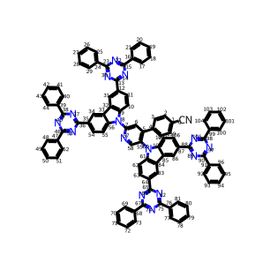 N#Cc1ccc(-c2cc(-n3c4ccc(-c5nc(-c6ccccc6)nc(-c6ccccc6)n5)cc4c4cc(-c5nc(-c6ccccc6)nc(-c6ccccc6)n5)ccc43)ncc2-n2c3ccc(-c4nc(-c5ccccc5)nc(-c5ccccc5)n4)cc3c3cc(-c4nc(-c5ccccc5)nc(-c5ccccc5)n4)ccc32)cc1